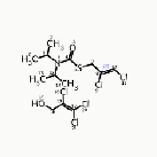 CC(C)N(C(=O)SC/C(Cl)=C/Cl)C(C)C.OCC(Cl)=C(Cl)Cl